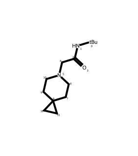 CC(C)(C)NC(=O)CN1CCC2(CC1)CC2